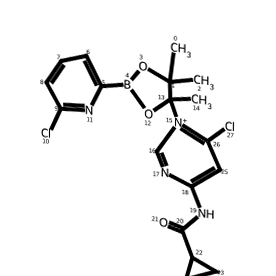 CC1(C)OB(c2cccc(Cl)n2)OC1(C)[n+]1cnc(NC(=O)C2CC2)cc1Cl